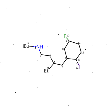 CCC(CCNC(C)CC)CC1CC(F)CCC1I